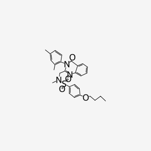 CCCCOc1ccc(S(=O)(=O)N(C)Cc2nc3ccccc3c(=O)n2-c2ccc(C)cc2C)cc1